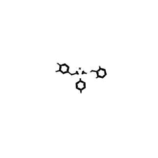 Fc1ccc(-n2c(Cc3ccc(Cl)c(Cl)c3)nnc2SCc2c(F)cccc2Cl)cc1